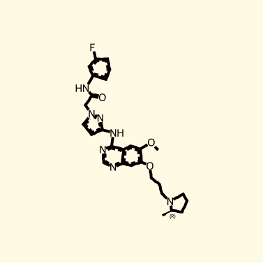 COc1cc2c(Nc3ccn(CC(=O)Nc4cccc(F)c4)n3)ncnc2cc1OCCCN1CCC[C@H]1C